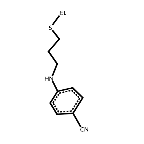 CCSCCCNc1ccc(C#N)cc1